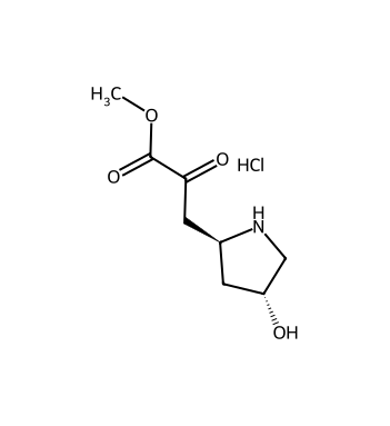 COC(=O)C(=O)C[C@@H]1C[C@@H](O)CN1.Cl